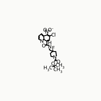 CC(C)(C)OC(=O)N1CCC(F)(CNC(=O)c2cc(Cl)c([N+](=O)[O-])c3cccnc23)CC1